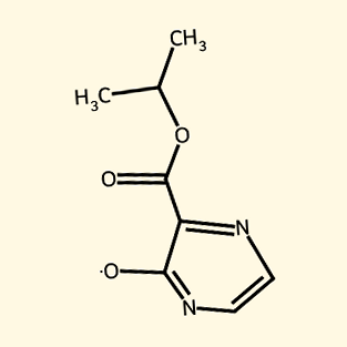 CC(C)OC(=O)c1nccnc1[O]